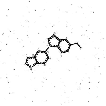 CCc1ccc2c(c1)ncn2-c1ccc2[nH]ccc2c1